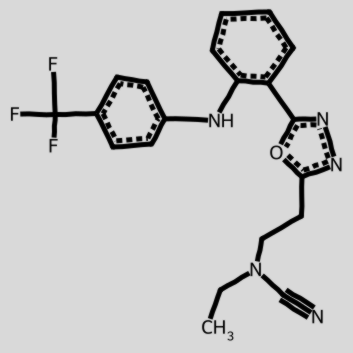 CCN(C#N)CCc1nnc(-c2ccccc2Nc2ccc(C(F)(F)F)cc2)o1